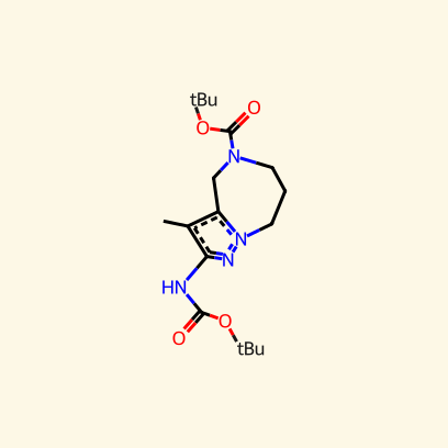 Cc1c(NC(=O)OC(C)(C)C)nn2c1CN(C(=O)OC(C)(C)C)CCC2